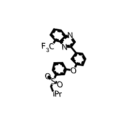 CC(C)CS(=O)(=O)c1cccc(Oc2cccc(-c3cnc4cccc(C(F)(F)F)c4n3)c2)c1